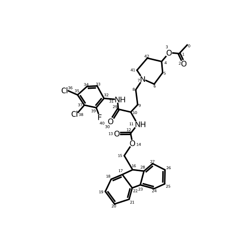 CC(=O)OC1CCN(CCC(NC(=O)OCC2c3ccccc3-c3ccccc32)C(=O)Nc2ccc(Cl)c(Cl)c2F)CC1